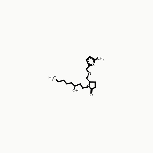 CCCCC[C@H](O)CCN1C(=O)CC[C@@H]1COCc1ccc(C)s1